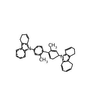 CC1=CC(n2c3c(c4c2C=CCC4)CC=CC=C3)CC=C1c1ccc(-n2c3c(c4ccccc42)CCC=C3)cc1C